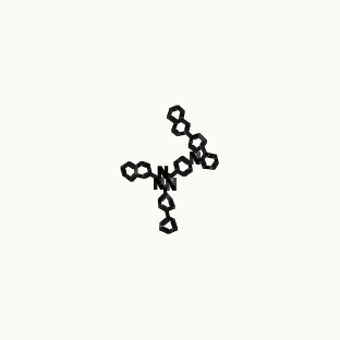 c1ccc(-c2ccc(-c3nc(-c4ccc(-n5c6ccccc6c6ccc(-c7ccc8ccccc8c7)cc65)cc4)nc(-c4ccc5ccccc5c4)n3)cc2)cc1